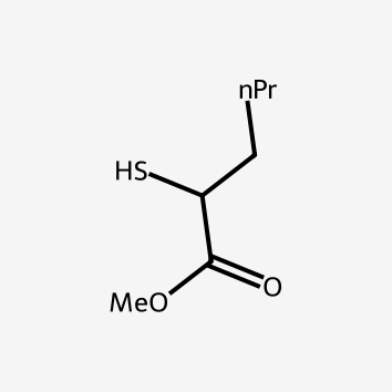 CCCCC(S)C(=O)OC